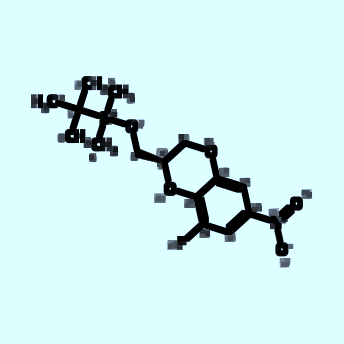 CC(C)(C)[Si](C)(C)OC[C@H]1COc2cc([N+](=O)[O-])cc(F)c2O1